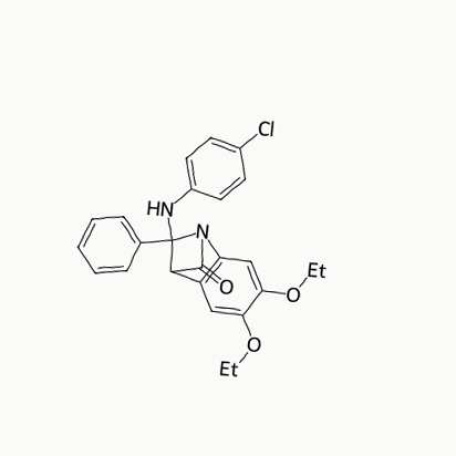 CCOc1cc2c(cc1OCC)N1C(=O)C2C1(Nc1ccc(Cl)cc1)c1ccccc1